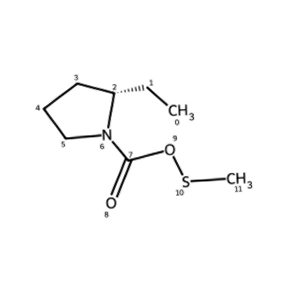 CC[C@H]1CCCN1C(=O)OSC